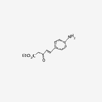 CCOC(=O)CC(=O)C=Cc1ccc(N)cc1